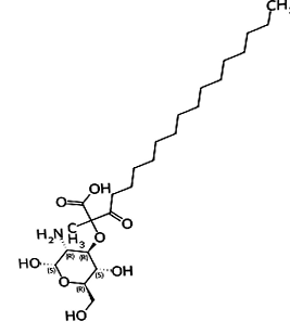 CCCCCCCCCCCCCCCC(=O)C(C)(O[C@@H]1[C@@H](N)[C@@H](O)O[C@H](CO)[C@H]1O)C(=O)O